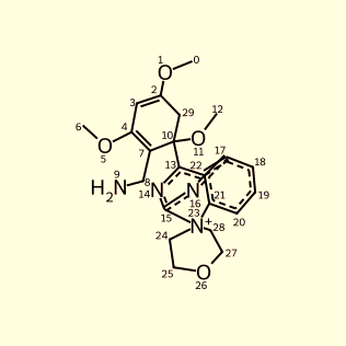 COC1=CC(OC)=C(CN)C(OC)(c2nc3nc4cccc(c24)[N+]32CCOCC2)C1